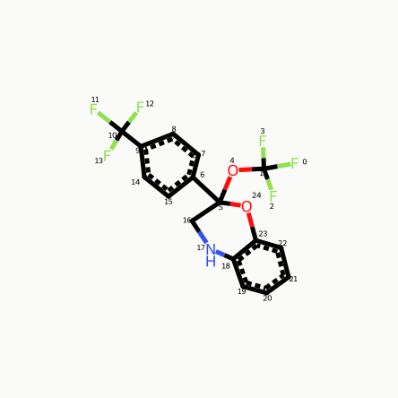 FC(F)(F)OC1(c2ccc(C(F)(F)F)cc2)CNc2ccccc2O1